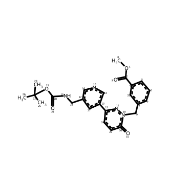 COC(=O)c1cccc(Cn2nc(-c3cncc(CNC(=O)OC(C)(C)C)c3)ccc2=O)c1